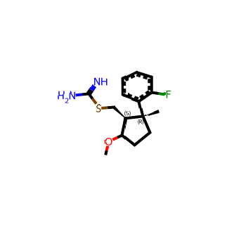 COC1CC[C@@](C)(c2ccccc2F)[C@@H]1CSC(=N)N